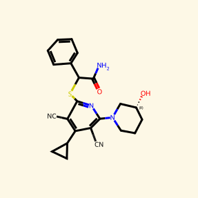 N#Cc1c(SC(C(N)=O)c2ccccc2)nc(N2CCC[C@@H](O)C2)c(C#N)c1C1CC1